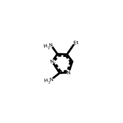 CCc1cnc(N)nc1N